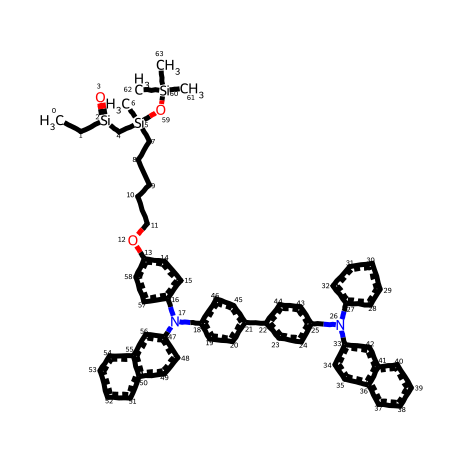 CC[Si](=O)C[Si](C)(CCCCCOc1ccc(N(c2ccc(-c3ccc(N(c4ccccc4)c4ccc5ccccc5c4)cc3)cc2)c2ccc3ccccc3c2)cc1)O[Si](C)(C)C